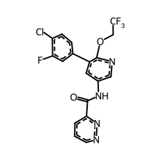 O=C(Nc1cnc(OCC(F)(F)F)c(-c2ccc(Cl)c(F)c2)c1)c1cccnn1